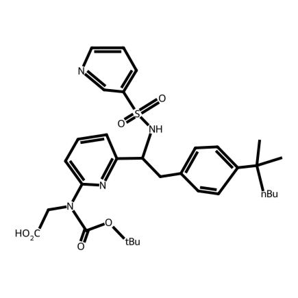 CCCCC(C)(C)c1ccc(CC(NS(=O)(=O)c2cccnc2)c2cccc(N(CC(=O)O)C(=O)OC(C)(C)C)n2)cc1